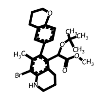 COC(=O)C(OC(C)(C)C)c1c2c(c(Br)c(C)c1-c1ccc3c(c1)CCCO3)NCCC2